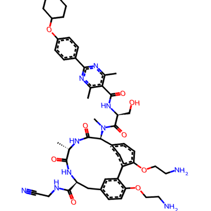 Cc1nc(-c2ccc(OC3CCCCC3)cc2)nc(C)c1C(=O)N[C@@H](CO)C(=O)N(C)[C@@H]1C(=O)N[C@@H](C)C(=O)N[C@H](C(=O)NCC#N)Cc2ccc(OCCN)c(c2)-c2cc1ccc2OCCN